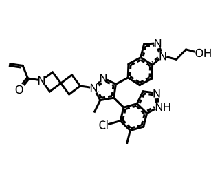 C=CC(=O)N1CC2(CC(n3nc(-c4ccc5c(cnn5CCO)c4)c(-c4c(Cl)c(C)cc5[nH]ncc45)c3C)C2)C1